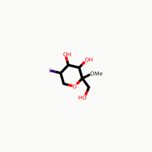 COC1(CO)OCC(I)C(O)C1O